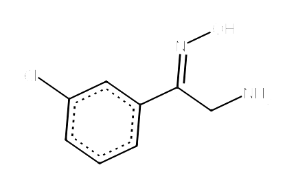 NCC(=NO)c1cccc(Cl)c1